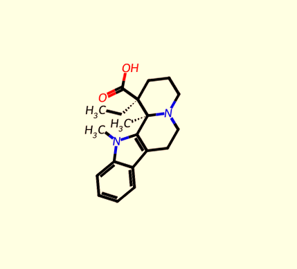 CC[C@]1(C(=O)O)CCCN2CCc3c(n(C)c4ccccc34)[C@]21C